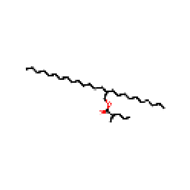 CCCCCCCCCCCCCCC(CCCCCCCCCC)COC(=O)C(C)CCC